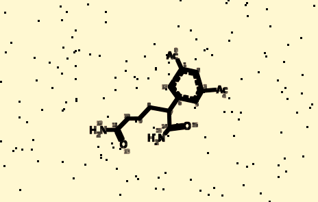 CC(=O)c1cc(C(C)=O)cc(C(CCCC(N)=O)C(N)=O)c1